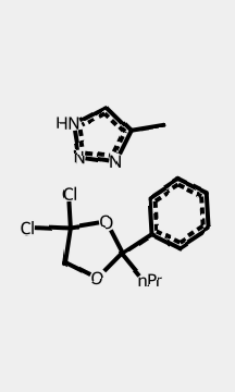 CCCC1(c2ccccc2)OCC(Cl)(Cl)O1.Cc1c[nH]nn1